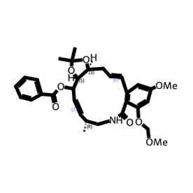 COCOc1cc(OC)cc2c1C(=O)NC[C@H](C)/C=C\C(OC(=O)c1ccccc1)[C@H]1OC(C)(C)O[C@H]1C/C=C/2